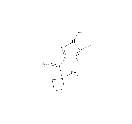 C=C(c1nc2n(n1)CCC2)C1(C)CCC1